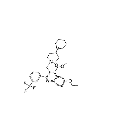 CCOc1ccc2nc(-c3cccc(C(F)(F)F)c3)c(CN3CCC(N4CCCCC4)CC3)c(C(=O)OC)c2c1